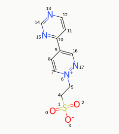 O=S(=O)([O-])CC[n+]1ccc(-c2ccncn2)cn1